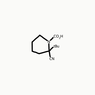 CC(C)(C)C1(C#N)CCCCN1C(=O)O